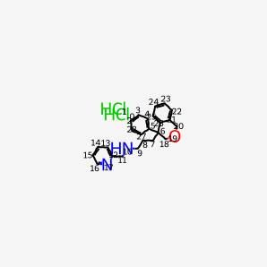 Cl.Cl.c1ccc(C2(CCCNCc3ccccn3)COCc3ccccc32)cc1